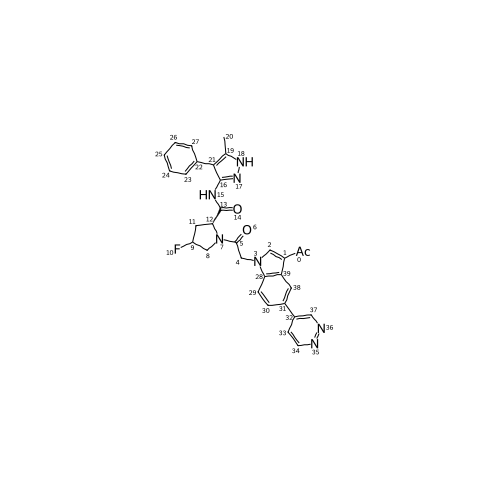 CC(=O)c1cn(CC(=O)N2CC(F)C[C@H]2C(=O)Nc2n[nH]c(C)c2-c2ccccc2)c2ccc(-c3ccnnc3)cc12